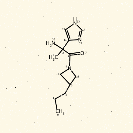 CCCC1CN(C(=O)C(C)(N)c2c[nH]cn2)C1